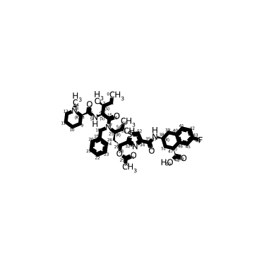 CC[C@H](C)[C@H](NC(=O)[C@H]1CCCCN1C)C(=O)N(Cc1ccccc1)[C@H](C[C@@H](OC(C)=O)c1nc(C(=O)N[C@H]2Cc3ccc(F)cc3[C@H](C(=O)O)C2)cs1)C(C)C